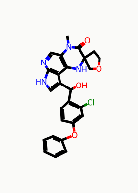 CN1C(=O)C2(CCOC2)Nc2c1cnc1[nH]cc(C(O)c3ccc(Oc4ccccc4)cc3Cl)c21